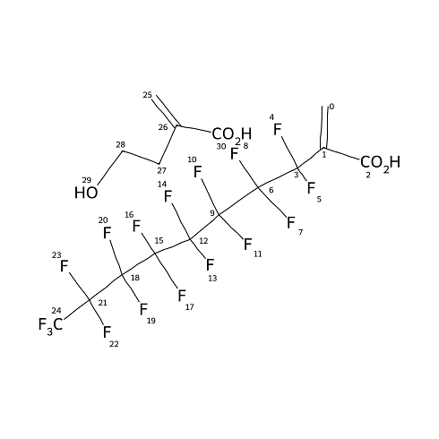 C=C(C(=O)O)C(F)(F)C(F)(F)C(F)(F)C(F)(F)C(F)(F)C(F)(F)C(F)(F)C(F)(F)F.C=C(CCO)C(=O)O